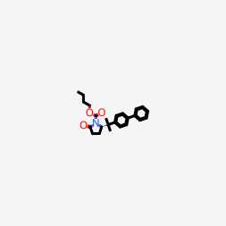 CCCCOC(=O)N1C(=O)CC[C@H]1C(C)(C)c1ccc(-c2ccccc2)cc1